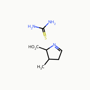 CC1CC=NC1C(=O)O.NC(N)=S